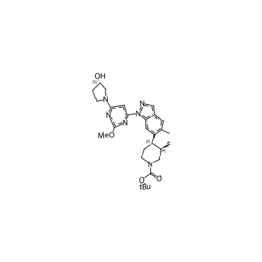 COc1nc(N2CC[C@H](O)C2)cc(-n2ncc3cc(C)c([C@@H]4CCN(C(=O)OC(C)(C)C)C[C@@H]4F)cc32)n1